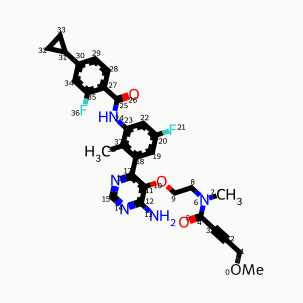 COCC#CC(=O)N(C)CCOc1c(N)ncnc1-c1cc(F)cc(NC(=O)c2ccc(C3CC3)cc2F)c1C